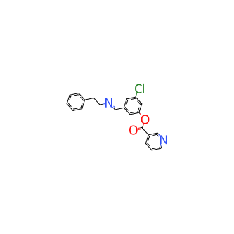 O=C(Oc1cc(Cl)cc(C=NCCc2ccccc2)c1)c1cccnc1